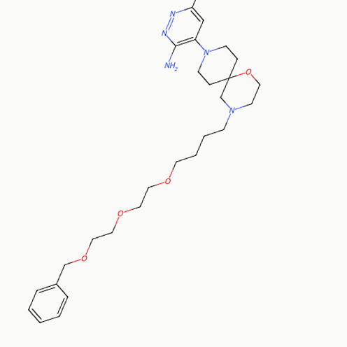 Nc1nnc(Cl)cc1N1CCC2(CC1)CN(CCCCOCCOCCOCc1ccccc1)CCO2